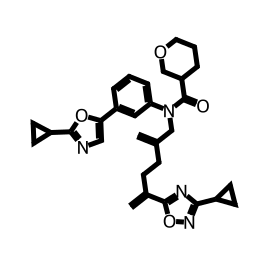 C=C(CCC(=C)c1nc(C2CC2)no1)CN(C(=O)C1CCCOC1)c1cccc(-c2cnc(C3CC3)o2)c1